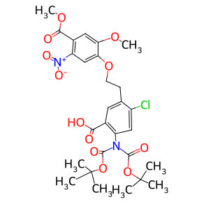 COC(=O)c1cc(OC)c(OCCc2cc(C(=O)O)c(N(C(=O)OC(C)(C)C)C(=O)OC(C)(C)C)cc2Cl)cc1[N+](=O)[O-]